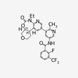 CCN1C(=O)O[C@@H]2COCC[C@@H]2c2cc(-c3cc(NC(=O)c4cccc(C(F)(F)F)c4F)cnc3C)cnc21